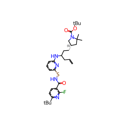 C=CCC(CC[C@@H]1CN(C(=O)OC(C)(C)C)C(C)(C)C1)Nc1cccc(SNC(=O)c2ccc(C(C)(C)C)nc2F)n1